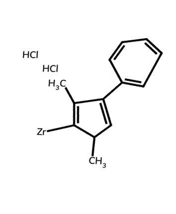 CC1=[C]([Zr])C(C)C=C1c1ccccc1.Cl.Cl